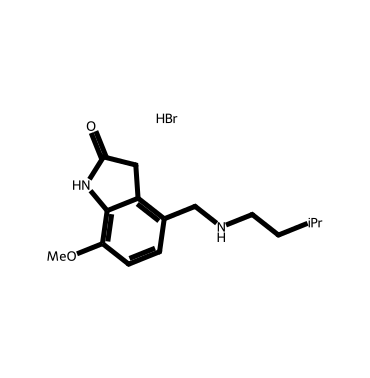 Br.COc1ccc(CNCCC(C)C)c2c1NC(=O)C2